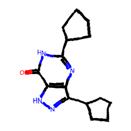 O=c1[nH]c(C2CCCC2)nc2c(C3CCCC3)n[nH]c12